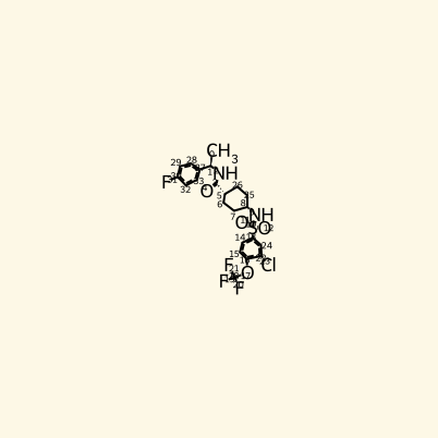 C[C@@H](NC(=O)[C@H]1CC[C@H](NS(=O)(=O)c2ccc(OC(F)(F)F)c(Cl)c2)CC1)c1ccc(F)cc1